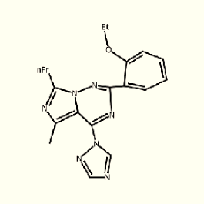 CCCc1nc(C)c2c(-n3cncn3)nc(-c3ccccc3OCC)nn12